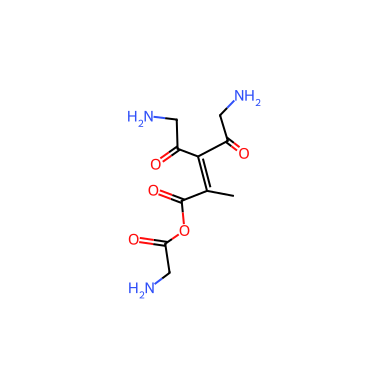 CC(C(=O)OC(=O)CN)=C(C(=O)CN)C(=O)CN